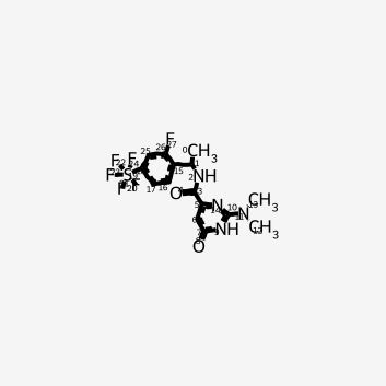 CC(NC(=O)c1cc(=O)[nH]c(N(C)C)n1)c1ccc(S(F)(F)(F)(F)F)cc1F